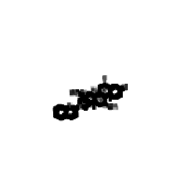 C[C@]12C=CC(=O)C=C1[C@@H](F)C[C@H]1[C@@H]3C[C@H]4CN(c5ccc6ccccc6n5)C[C@@]4(C(=O)CO)[C@@]3(C)C[C@H](O)[C@@]12F